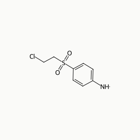 [NH]c1ccc(S(=O)(=O)CCCl)cc1